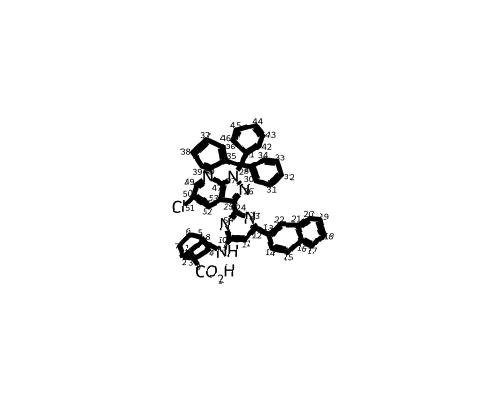 O=C(O)C1C2CCC(CC2)C1Nc1cc(-c2ccc3ccccc3c2)nc(-c2nn(C(c3ccccc3)(c3ccccc3)c3ccccc3)c3ncc(Cl)cc23)n1